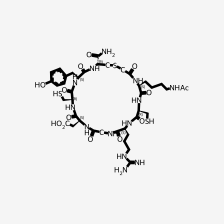 CC(=O)NCCCC[C@@H]1NC(=O)CSC[C@@H](C(N)=O)NC(=O)[C@H](Cc2ccc(O)cc2)NC(=O)[C@H](CS)NC(=O)[C@H](CC(=O)O)NC(=O)CNC(=O)[C@H](CCCNC(=N)N)NC(=O)[C@H](CS)NC1=O